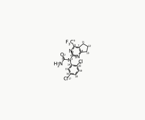 NC(=O)N(c1nc2c(c(C(F)(F)F)n1)CCC2)c1cc(Cl)ccc1Cl